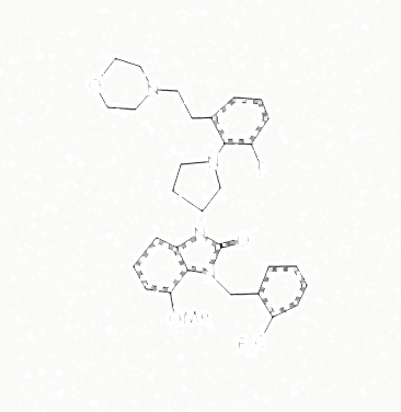 COc1cccc2c1n(Cc1ccccc1C(F)(F)F)c(=O)n2[C@@H]1CCN(c2c(F)cccc2CCN2CCOCC2)C1